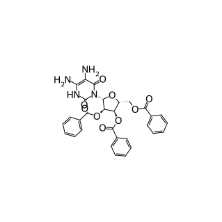 Nc1[nH]c(=O)n([C@@H]2O[C@H](COC(=O)c3ccccc3)[C@@H](OC(=O)c3ccccc3)[C@H]2OC(=O)c2ccccc2)c(=O)c1N